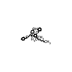 CCCCCCC(C)(C)c1ccc([C@@H]2C[C@H](O)CCN2C(=O)CCOCc2ccccc2)c(OCc2ccccc2)c1